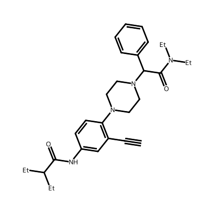 C#Cc1cc(NC(=O)C(CC)CC)ccc1N1CCN(C(C(=O)N(CC)CC)c2ccccc2)CC1